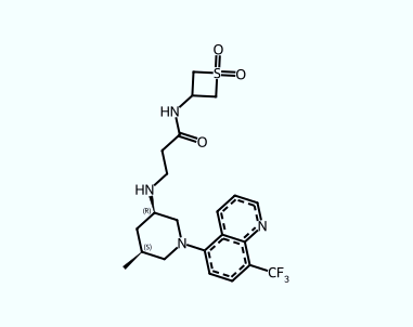 C[C@H]1C[C@@H](NCCC(=O)NC2CS(=O)(=O)C2)CN(c2ccc(C(F)(F)F)c3ncccc23)C1